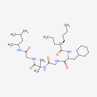 CCCC[C@H](CCC)C(=O)NC(CC1CCCCC1)C(=O)NCC(=O)NC(C)(C)C(=O)NCC(=O)NC(C)CC(C)C